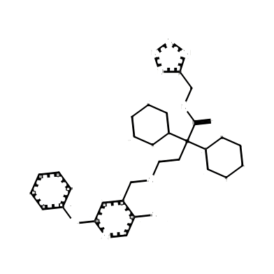 O=C(NCc1nnn[nH]1)C(CCNCc1cc(Oc2ccccc2)ncc1[N+](=O)[O-])(C1CCCCC1)C1CCCCC1